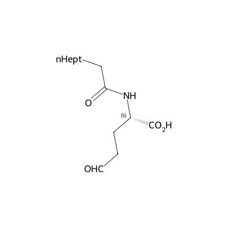 CCCCCCCCC(=O)N[C@@H](CCC=O)C(=O)O